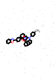 Cc1ccc(N2c3ccc(-c4ccc(-c5nc6ccccc6o5)cc4)cc3[C@]34CC(C=CC23)C2C=CC4(c3nc4ccccc4o3)CC2)cc1